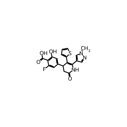 Cn1cc(C2=C(c3cccs3)C(c3cc(O)c(C(=O)O)c(F)c3)CC(=O)N2)cn1